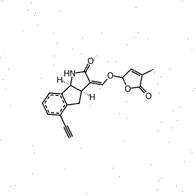 C#Cc1cccc2c1C[C@@H]1C(=COC3C=C(C)C(=O)O3)C(=O)N[C@H]21